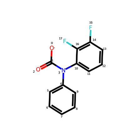 [O]C(=O)N(c1ccccc1)c1cccc(F)c1F